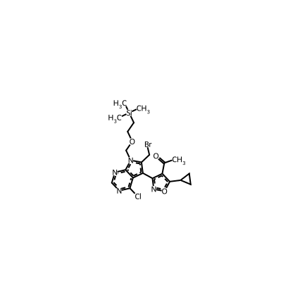 CC(=O)c1c(-c2c(CBr)n(COCC[Si](C)(C)C)c3ncnc(Cl)c23)noc1C1CC1